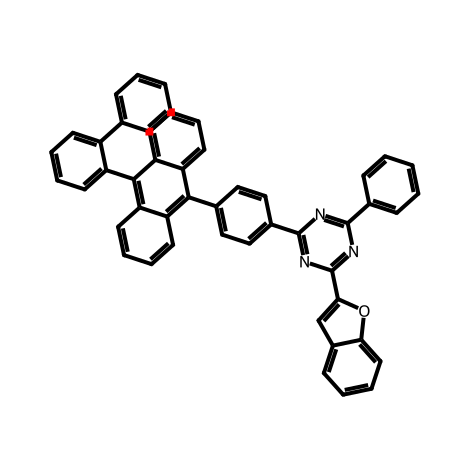 c1ccc(-c2nc(-c3ccc(-c4c5ccccc5c(-c5ccccc5-c5ccccc5)c5ccccc45)cc3)nc(-c3cc4ccccc4o3)n2)cc1